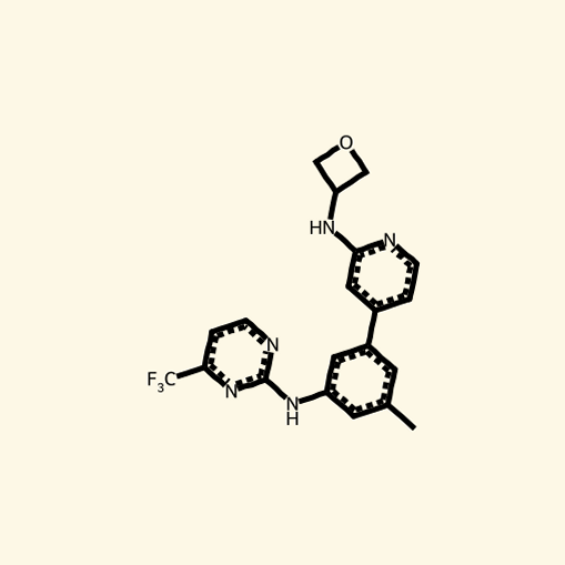 Cc1cc(Nc2nccc(C(F)(F)F)n2)cc(-c2ccnc(NC3COC3)c2)c1